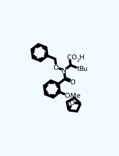 C1CC2CC1O2.COc1ccccc1C(=O)N(OCc1ccccc1)C(C(=O)O)C(C)(C)C